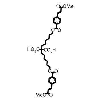 COC(=O)C=Cc1ccc(C(=O)OCCCCCCC(CCCCCCOC(=O)c2ccc(C=CC(=O)OC)cc2)(C(=O)O)C(=O)O)cc1